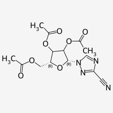 CC(=O)OC[C@H]1O[C@@H](n2cnc(C#N)n2)C(OC(C)=O)C1OC(C)=O